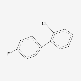 Fc1ccc(-c2[c]cccc2Cl)cc1